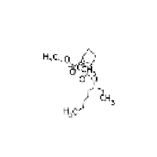 CCCCCC(CC)OC(=O)C1C(C(=O)OCC)C2CCC1C2(C)C